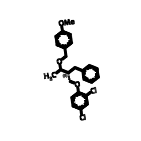 COc1ccc(COC(C)[C@@H](COc2ccc(Cl)cc2Cl)Cc2ccccc2)cc1